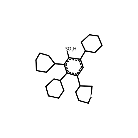 O=S(=O)(O)c1c(C2CCCCC2)cc(C2CCCCC2)c(C2CCCCC2)c1C1CCCCC1